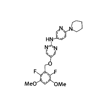 COc1cc(OC)c(F)c(COc2cnc(Nc3ccc(N4CCCCC4)nc3)nc2)c1F